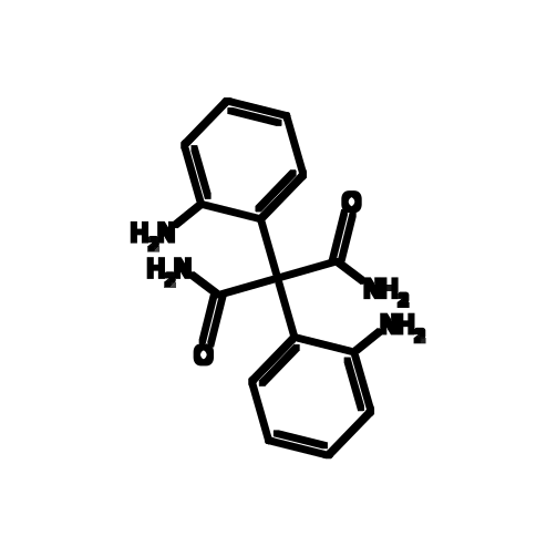 NC(=O)C(C(N)=O)(c1ccccc1N)c1ccccc1N